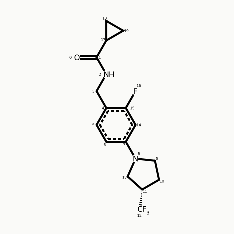 O=C(NCc1ccc(N2CC[C@H](C(F)(F)F)C2)cc1F)C1CC1